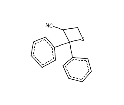 N#CC1CSC1(c1ccccc1)c1ccccc1